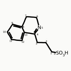 O=S(=O)(O)CCCC1=NCCc2ccccc21